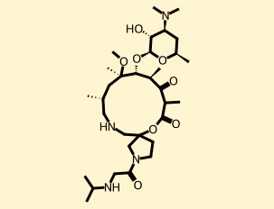 CO[C@]1(C)C[C@@H](C)CNCC2(CCN(C(=O)CNC(C)C)C2)OC(=O)C(C)C(=O)[C@H](C)[C@H]1O[C@@H]1O[C@H](C)C[C@H](N(C)C)[C@H]1O